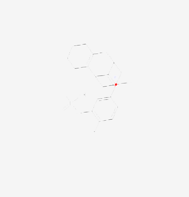 O=P(O)(O)Oc1cc(/C(O)=C2/C3CCCC2C2=C(CCCC2)C3)ccc1Cl